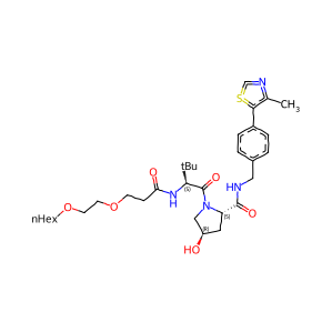 CCCCCCOCCOCCC(=O)N[C@H](C(=O)N1C[C@H](O)C[C@H]1C(=O)NCc1ccc(-c2scnc2C)cc1)C(C)(C)C